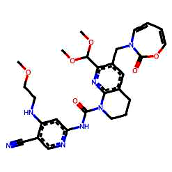 COCCNc1cc(NC(=O)N2CCCc3cc(CN4C=CC=COC4=O)c(C(OC)OC)nc32)ncc1C#N